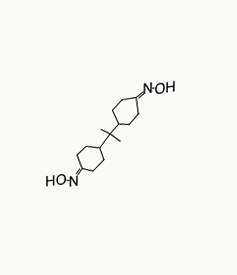 CC(C)(C1CCC(=NO)CC1)C1CCC(=NO)CC1